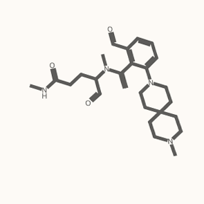 C=C(c1c(C=O)cccc1N1CCC2(CCN(C)CC2)CC1)N(C)C(C=O)CCC(=O)NC